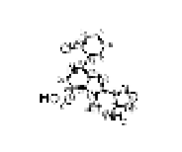 CCn1c(-c2nonc2N)nc2c(-c3ccccc3Cl)ncc(C(=O)O)c21